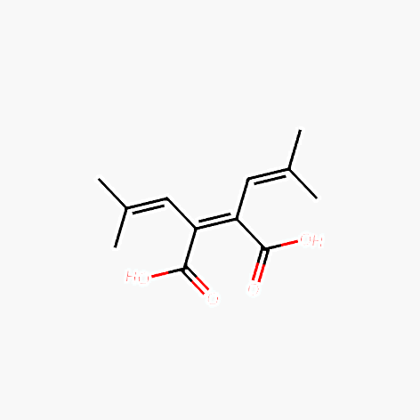 CC(C)=C/C(C(=O)O)=C(\C=C(C)C)C(=O)O